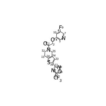 O=C(COc1cncc(F)c1)N1CCc2sc(-c3noc(C(F)(F)F)n3)cc2C1